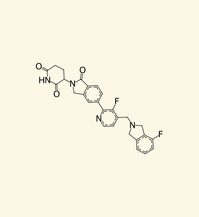 O=C1CCC(N2Cc3cc(-c4nccc(CN5Cc6cccc(F)c6C5)c4F)ccc3C2=O)C(=O)N1